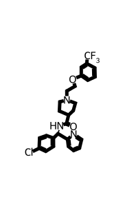 O=C(N[C@@H](c1ccc(Cl)cc1)c1ccccn1)C1CCN(CCOc2cccc(C(F)(F)F)c2)CC1